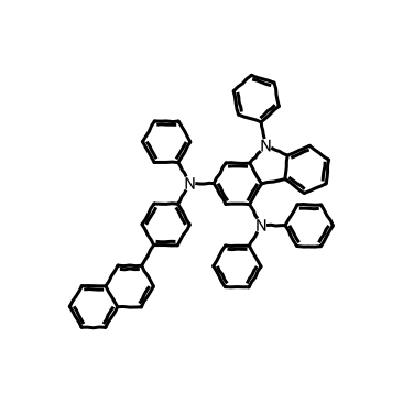 c1ccc(N(c2ccc(-c3ccc4ccccc4c3)cc2)c2cc(N(c3ccccc3)c3ccccc3)c3c4ccccc4n(-c4ccccc4)c3c2)cc1